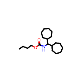 CCCCOC(=O)NC(C1CCCCCC1)C1CCCCCC1